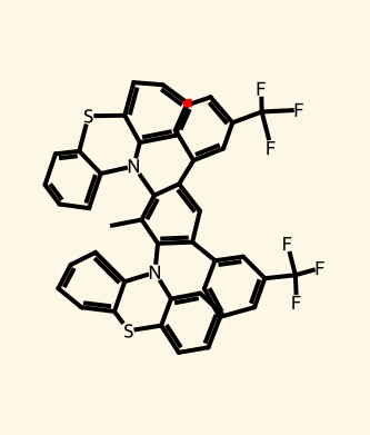 Cc1c(N2c3ccccc3Sc3ccccc32)c(-c2cccc(C(F)(F)F)c2)cc(-c2cccc(C(F)(F)F)c2)c1N1c2ccccc2Sc2ccccc21